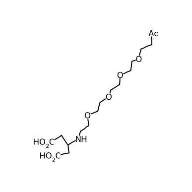 CC(=O)CCOCCOCCOCCOCCNC(CC(=O)O)CC(=O)O